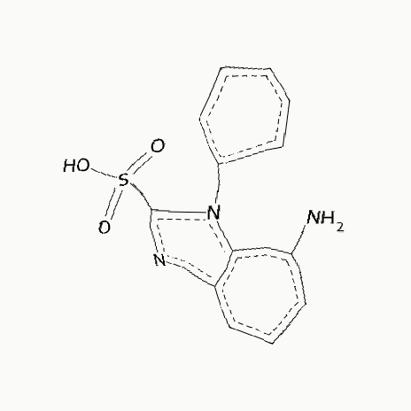 Nc1cccc2nc(S(=O)(=O)O)n(-c3ccccc3)c12